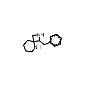 c1ccc(CC2NCC23CCCCN3)cc1